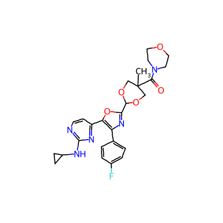 CC1(C(=O)N2CCOCC2)COC(c2nc(-c3ccc(F)cc3)c(-c3ccnc(NC4CC4)n3)o2)OC1